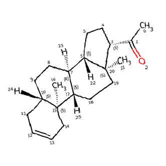 CC(=O)[C@H]1CC[C@H]2[C@@H]3CC[C@H]4CC=CC[C@]4(C)[C@H]3CC[C@]12C